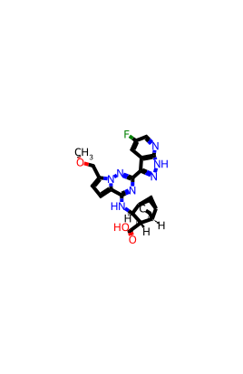 COCc1ccc2c(N[C@@H]3[C@@H](C(=O)O)[C@H]4CCC35CC4C5)nc(-c3n[nH]c4ncc(F)cc34)nn12